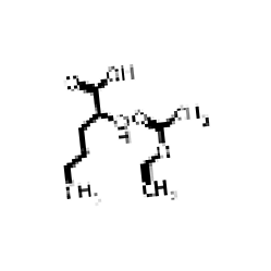 C=COC(C)=O.CCCCC(O)C(=O)O